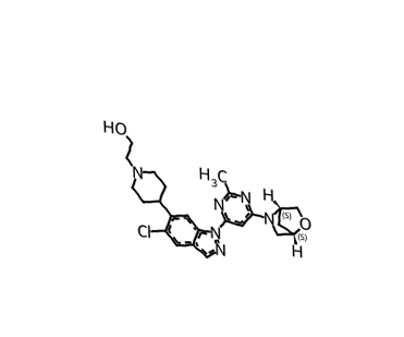 Cc1nc(N2C[C@@H]3C[C@H]2CO3)cc(-n2ncc3cc(Cl)c(C4CCN(CCO)CC4)cc32)n1